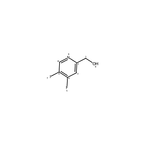 OCc1cc(F)c(I)cn1